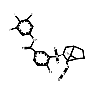 [N-]=[N+]=NC[C@]1(O)C2CCC1C[C@H](S(=O)(=O)c1cc(C(=O)Nc3cc(F)c(F)c(F)c3)ccc1Cl)C2